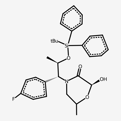 CC1CN([C@H](c2ccc(F)cc2)[C@@H](C)O[Si](c2ccccc2)(c2ccccc2)C(C)(C)C)C(=O)[C@@H](O)O1